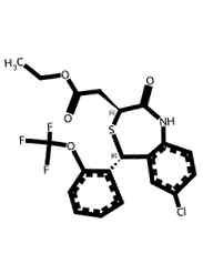 CCOC(=O)C[C@@H]1S[C@@H](c2ccccc2OC(F)(F)F)c2cc(Cl)ccc2NC1=O